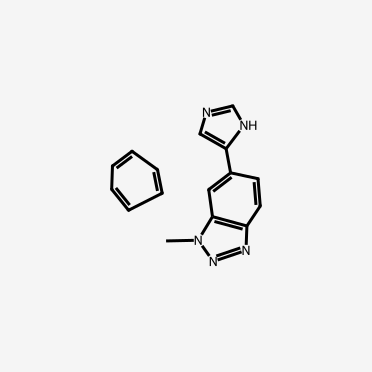 Cn1nnc2ccc(-c3cnc[nH]3)cc21.c1ccccc1